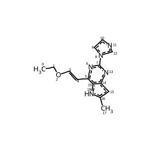 CCOC=Cc1nc(-n2ccnc2)nc2cc(C)[nH]c12